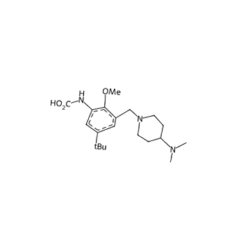 COc1c(CN2CCC(N(C)C)CC2)cc(C(C)(C)C)cc1NC(=O)O